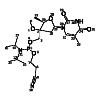 CO[C@]1(COP(OCCC#N)N(C(C)C)C(C)C)C[C@H](n2cc(C)c(=O)[nH]c2=O)O[C@@H]1C